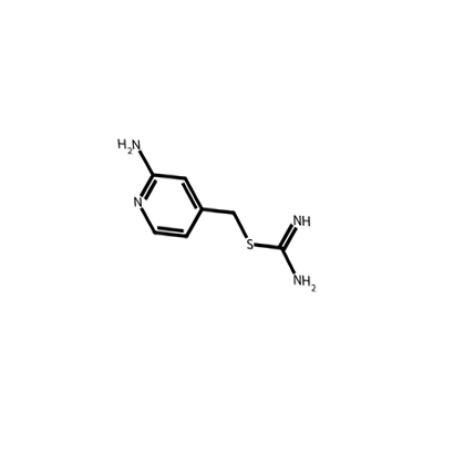 N=C(N)SCc1ccnc(N)c1